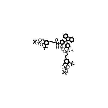 Cc1cc(CCC(=O)Nc2ccc(C3(c4ccc(NC(=O)CCc5cc(C)c(OC(=O)OC(C)(C)C)c(C(C)(C)C)c5)c(Cl)c4)c4ccccc4-c4ccccc43)cc2Cl)cc(C(C)(C)C)c1OC(=O)OC(C)(C)C